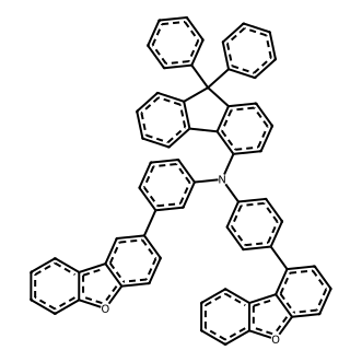 c1ccc(C2(c3ccccc3)c3ccccc3-c3c(N(c4ccc(-c5cccc6oc7ccccc7c56)cc4)c4cccc(-c5ccc6oc7ccccc7c6c5)c4)cccc32)cc1